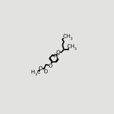 CCCCC(CC)CO[n+]1ccc(OCC(=O)OC)cc1